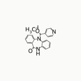 CI.O=C1Nc2ccccc2N(C(=O)c2ccncc2)c2ccccc21